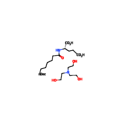 CCCCCCCCCCCCCCCC(=O)N[C@@H](CCC(=O)O)C(=O)O.OCCN(CCO)CCO